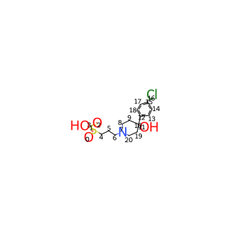 O=S(=O)(O)CCCN1CCC(O)(c2ccc(Cl)cc2)CC1